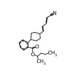 CCCC(C)OC(=O)c1ccccc1C1CCC(/C=C/C=CC#N)CC1